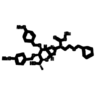 COc1ccc(CO[C@H]2[C@H](OCc3ccc(OC)cc3)[C@H]3N=C(N(CCOCc4ccccc4)C(=O)OC(C)(C)C)S[C@H]3O[C@@H]2[C@H](C)O)cc1